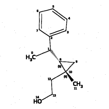 CC(c1ccccc1)[C@@H]1C[C@]1(C)CCO